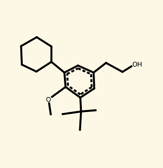 COc1c(C2CCCCC2)cc(CCO)cc1C(C)(C)C